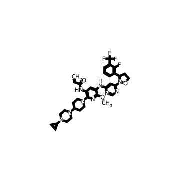 C=CC(=O)Nc1cc(Nc2cc(N3OCCC3c3cccc(C(F)(F)F)c3F)ncn2)c(OC)nc1N1CCC(N2CCN(C3CC3)CC2)CC1